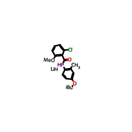 CCC(C)Oc1ccc(PC(=O)c2c(Cl)cccc2OC)c(C)c1.[LiH]